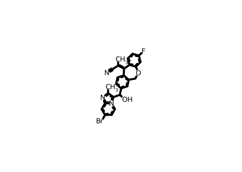 C/C(C#N)=C1/c2ccc(C(O)c3c(C)nc4cc(Br)ccn34)cc2COc2cc(F)ccc21